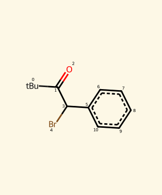 CC(C)(C)C(=O)C(Br)c1ccccc1